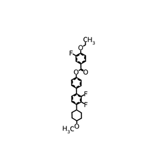 CCOc1ccc(C(=O)Oc2ccc(-c3ccc(C4CCC(OC)CC4)c(F)c3F)cc2)cc1F